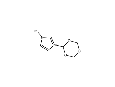 CCn1cc[n+](C2OCOCO2)c1